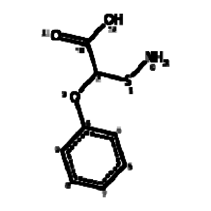 NSC(Oc1ccccc1)C(=O)O